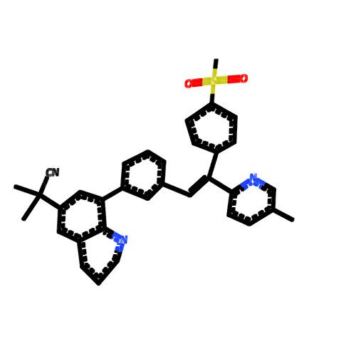 Cc1ccc(/C(=C/c2cccc(-c3cc(C(C)(C)C#N)cc4cccnc34)c2)c2ccc(S(C)(=O)=O)cc2)nc1